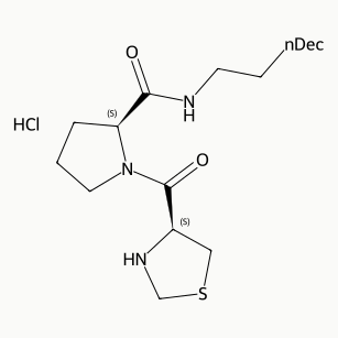 CCCCCCCCCCCCNC(=O)[C@@H]1CCCN1C(=O)[C@H]1CSCN1.Cl